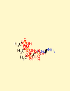 COP(=O)(O)O.COP(=O)(O)O.COP(=O)(O)O.COP(=O)(O)O.NCCN